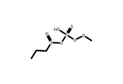 CCCS(=O)OP(O)(=S)OOC